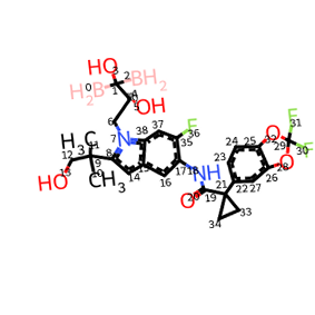 BC(B)(O)[C@H](O)Cn1c(C(C)(C)CO)cc2cc(NC(=O)C3(c4ccc5c(c4)OC(F)(F)O5)CC3)c(F)cc21